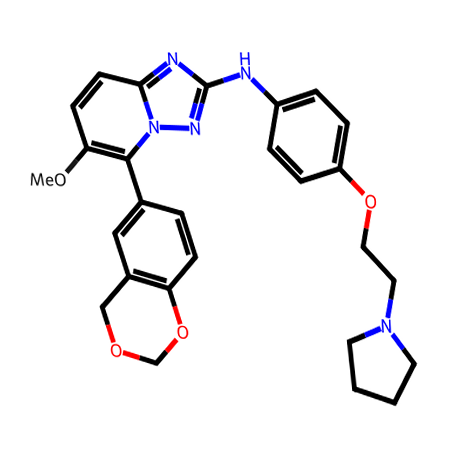 COc1ccc2nc(Nc3ccc(OCCN4CCCC4)cc3)nn2c1-c1ccc2c(c1)COCO2